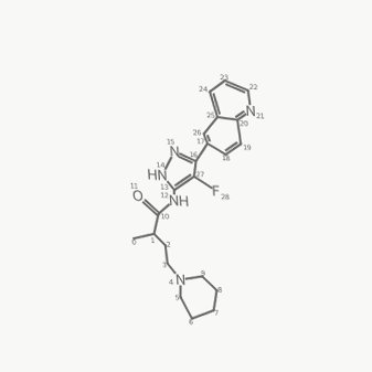 CC(CCN1CCCCC1)C(=O)Nc1[nH]nc(-c2ccc3ncccc3c2)c1F